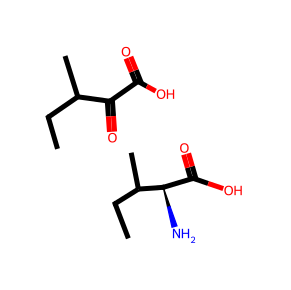 CCC(C)C(=O)C(=O)O.CCC(C)[C@H](N)C(=O)O